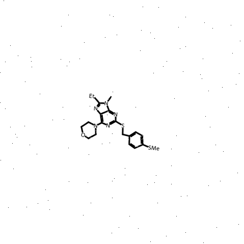 CCc1nc2c(N3CCOCC3)nc(SCc3ccc(SC)cc3)nc2n1C